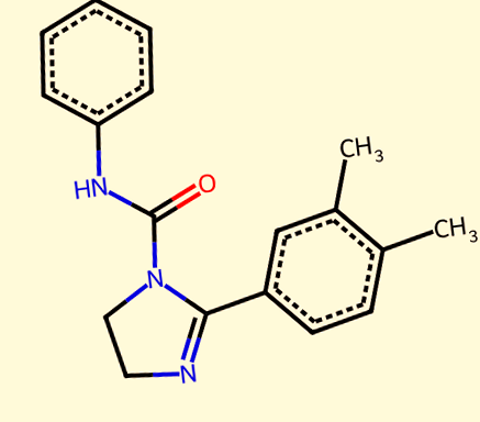 Cc1ccc(C2=NCCN2C(=O)Nc2ccccc2)cc1C